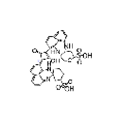 O=C1C(c2ccc3cccc4c3c2NC2(CCCC(S(=O)(=O)O)C2)N4)=C(O)/C1=c1/ccc2cccc3c2c1NC1(CCCC(S(=O)(=O)O)C1)N=3